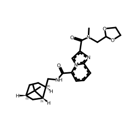 CN(CC1OCCO1)C(=O)c1cn2c(C(=O)NC[C@@H]3CC[C@H]4C[C@@H]3C4(C)C)cccc2n1